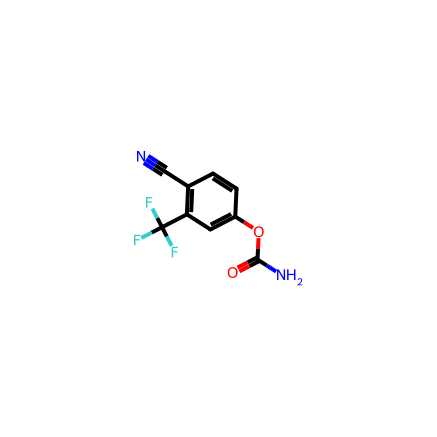 N#Cc1ccc(OC(N)=O)cc1C(F)(F)F